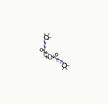 Cc1cc(/C=C/C=C/C(=O)N2CCN3CCN(C(=O)/C=C/C=C/c4cc(C)c(C)c(C)c4)CC3C2)cc(C)c1C